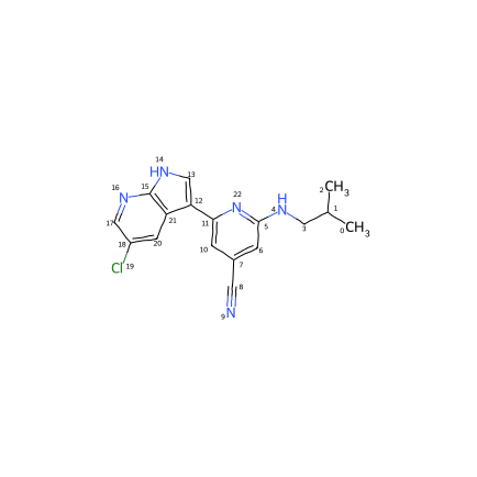 CC(C)CNc1cc(C#N)cc(-c2c[nH]c3ncc(Cl)cc23)n1